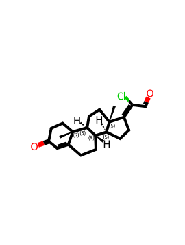 C[C@]12CCC(=O)C=C1CC[C@@H]1[C@@H]2CC[C@]2(C)C(=C(Cl)C=O)CC[C@@H]12